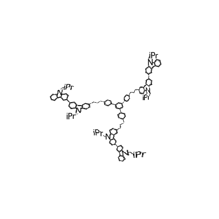 CC(C)Cn1c2ccccc2c2cc(-c3ccc4c(c3)c3cc(CCCc5ccc(-c6cc(-c7ccc(CCCc8ccc9c(c8)c8cc(-c%10ccc%11c(c%10)c%10ccccc%10n%11CC(C)C)ccc8n9CC(C)C)cc7)cc(-c7ccc(CCCc8ccc9c(c8)c8cc(-c%10ccc%11c(c%10)c%10ccccc%10n%11CC(C)C)ccc8n9CC(C)C)cc7)c6)cc5)ccc3n4CC(C)C)ccc21